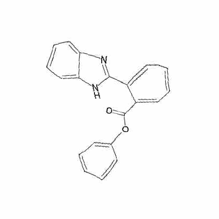 O=C(Oc1ccccc1)c1ccccc1-c1nc2ccccc2[nH]1